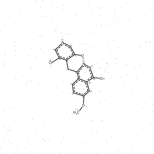 COc1ccc2c(Cc3c(Cl)cncc3Cl)nnc(Cl)c2c1